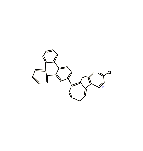 C=C(Cl)/C=C\c1c(C)oc2c1=CCC=CC=2c1ccc2c3ccccc3c3ccccc3c2c1